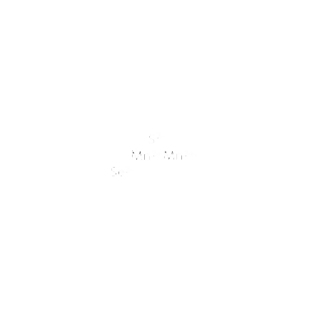 [Mn+2].[Mn+2].[S-2].[Se-2]